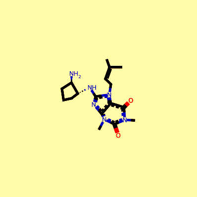 CC(C)=CCn1c(N[C@@H]2CCC[C@H]2N)nc2c1c(=O)n(C)c(=O)n2C